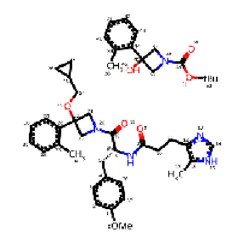 COc1ccc(C[C@@H](NC(=O)CCc2nc[nH]c2C)C(=O)N2CC(OCC3CC3)(c3ccccc3C)C2)cc1.Cc1ccccc1C1(O)CN(C(=O)OC(C)(C)C)C1